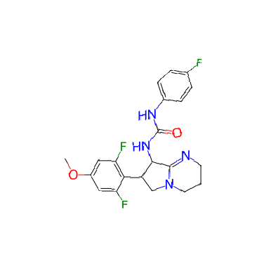 COc1cc(F)c(C2CN3CCCN=C3C2NC(=O)Nc2ccc(F)cc2)c(F)c1